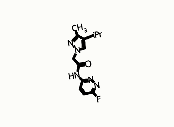 Cc1nn(CC(=O)Nc2ccc(F)nn2)cc1C(C)C